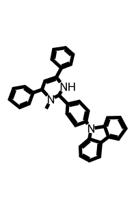 CN1C(c2ccccc2)C=C(c2ccccc2)NC1c1ccc(-n2c3ccccc3c3ccccc32)cc1